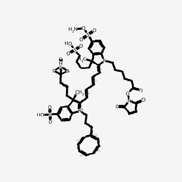 CC1(CCCC23S[SH]2(=O)S3)C(/C=C/C=C/C=C2/N(CCCCCC(=O)ON3C(=O)CCC3=O)c3ccc(S(=O)(=O)ON)cc3C2(C)CCCCS(=O)(=O)O)=[N+](CCCC2=C/C=C\C=C/C=C\2)c2ccc(S(=O)(=O)O)cc21